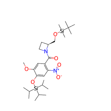 COc1cc(C(=O)N2CC[C@H]2CO[Si](C)(C)C(C)(C)C)c([N+](=O)[O-])cc1O[Si](C(C)C)(C(C)C)C(C)C